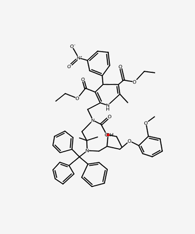 CCOC(=O)C1=C(C)NC(CN(CC(C)(C)N(CC(O)COc2ccccc2OC)C(c2ccccc2)(c2ccccc2)c2ccccc2)C(=O)OCC)=C(C(=O)OCC)C1c1cccc([N+](=O)[O-])c1